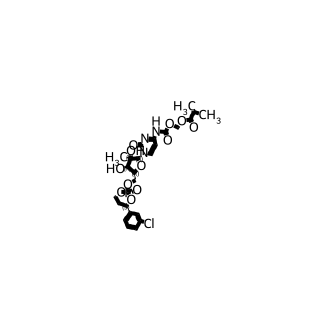 CC(C)C(=O)OCOC(=O)Nc1ccn([C@@H]2O[C@H](COP3(=O)OCC[C@@H](c4cccc(Cl)c4)O3)[C@@H](O)[C@@]2(C)O)c(=O)n1